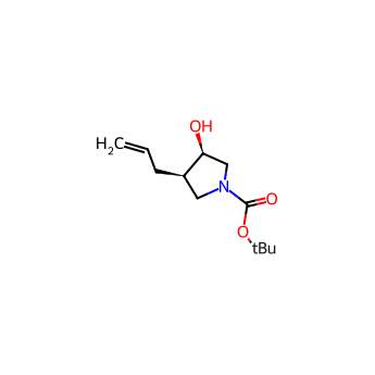 C=CC[C@@H]1CN(C(=O)OC(C)(C)C)C[C@@H]1O